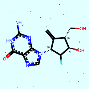 C=C1[C@@H](n2cnc3c(=O)[nH]c(N)nc32)C(F)[C@H](O)[C@H]1CO